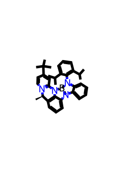 CC(C)c1cccc(C(C)C)c1N1B2N(c3ccccc31)c1cccc3c1N2c1cc(C(C)(C)C)cc[n+]1[C@@H]3C